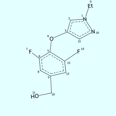 CCn1cc(Oc2c(F)cc(CO)cc2F)cn1